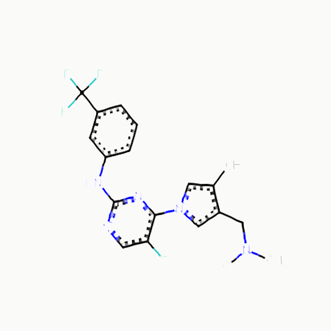 Cc1cn(-c2nc(Nc3cccc(C(F)(F)F)c3)ncc2F)cc1CN(C)C